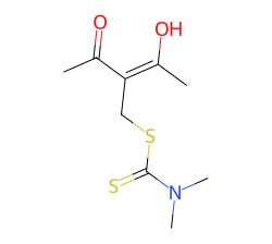 CC(=O)C(CSC(=S)N(C)C)=C(C)O